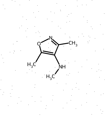 CNc1c(C)noc1C